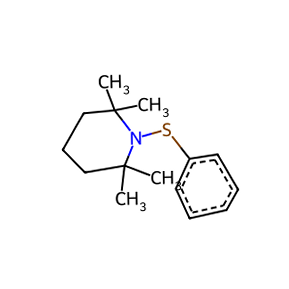 CC1(C)CCCC(C)(C)N1Sc1ccccc1